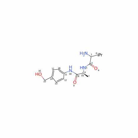 CC(C)C(N)C(=O)N[C@@H](C)C(=O)Nc1ccc(CO)cc1